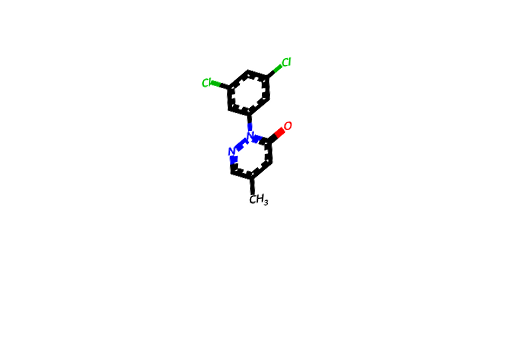 Cc1cnn(-c2cc(Cl)cc(Cl)c2)c(=O)c1